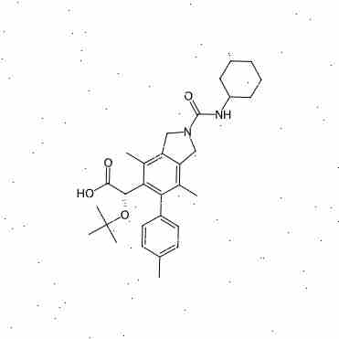 Cc1ccc(-c2c(C)c3c(c(C)c2[C@H](OC(C)(C)C)C(=O)O)CN(C(=O)NC2CCCCC2)C3)cc1